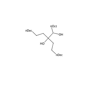 CCCCCCCCCCCCC(O)(CCCCCCCCCCCC)C(O)CCCCCCCC